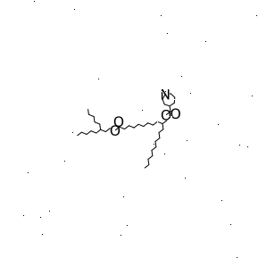 CCCCCCCCCCC(CCCCCCCCC(=O)OCCC(CCCCC)CCCCC)COC(=O)C1CCCN(C)CC1